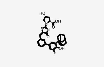 O=C1N=C(N2C[C@H](O)C[C@@H]2C(=O)O)SC1=Cc1cccc(-c2cc(F)c(O)c(C34CC5CC(CC(C5)C3)C4)c2)c1